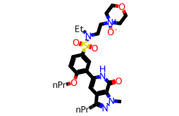 CCCOc1ccc(S(=O)(=O)N(CC)CC[N+]2([O-])CCOCC2)cc1-c1cc2c(CCC)nn(C)c2c(=O)[nH]1